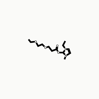 CCOCCOCCC(=O)OC1N(C)C=CN1CC